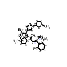 C=C(/C=C(\N=N/C)c1c(F)cccc1F)[C@@H]1CC[C@@](C)(CN(CC)C(=O)c2cnn(C3CCN(C)C3)c2)C1(C)C